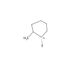 CC1CCCC[C@@H]1F